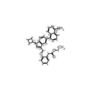 CCOC(=O)Cc1ccccc1OCc1nn(C2CCC2)c2ncc(-c3cccc4c(N)nccc34)cc12